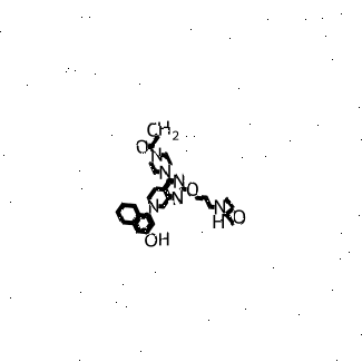 C=CC(=O)N1CCN(c2nc(OCCCN3CC4OC[C@@H]43)nc3c2CCN(c2cc(O)cc4c2CCCC4)C3)CC1